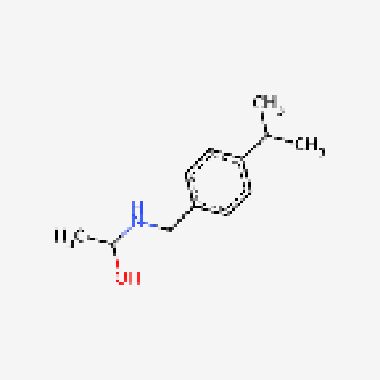 CC(O)NCc1ccc(C(C)C)cc1